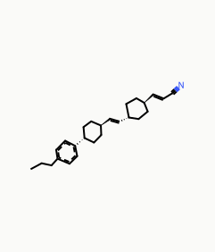 CCCc1ccc([C@H]2CC[C@H](/C=C/[C@H]3CC[C@H](C=CC#N)CC3)CC2)cc1